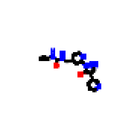 CCCCNC(=O)NCc1ccnc(-n2[nH]cc(-c3cccnc3)c2=O)c1